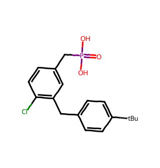 CC(C)(C)c1ccc(Cc2cc(CP(=O)(O)O)ccc2Cl)cc1